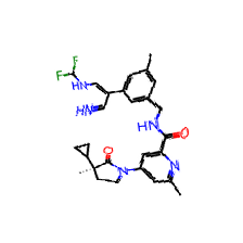 Cc1cc(CNC(=O)c2cc(N3CC[C@@](C)(C4CC4)C3=O)cc(C)n2)cc(/C(C=N)=C/NC(F)F)c1